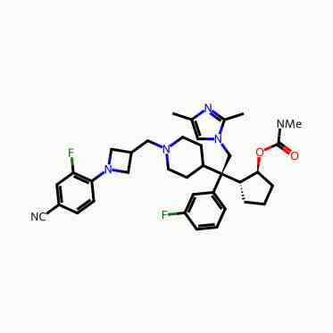 CNC(=O)O[C@H]1CCC[C@@H]1[C@](Cn1cc(C)nc1C)(c1cccc(F)c1)C1CCN(CC2CN(c3ccc(C#N)cc3F)C2)CC1